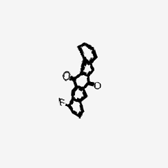 O=C1c2cc3ccccc3cc2C(=O)c2cc3c(F)cccc3cc21